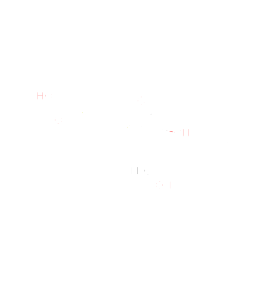 CC(O)(C=C[C@@H]1C(SCCCSCC(=O)O)C(=O)C[C@H]1O)CCc1cccc2ccccc12